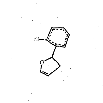 Clc1ccccc1[C]1CC=CO1